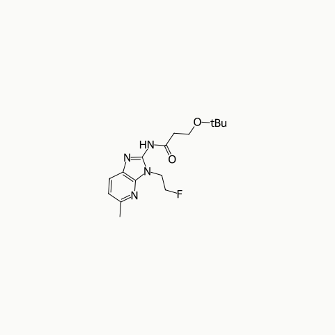 Cc1ccc2nc(NC(=O)CCOC(C)(C)C)n(CCF)c2n1